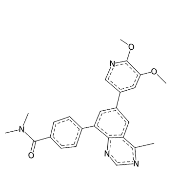 COc1cc(-c2cc(-c3ccc(C(=O)N(C)C)cc3)c3ncnc(C)c3c2)cnc1OC